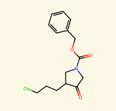 O=C1CN(C(=O)OCc2ccccc2)CC1CCCCl